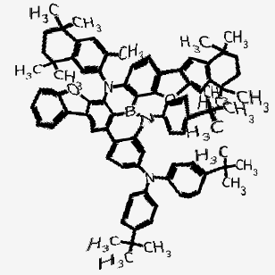 Cc1cc2c(cc1N1c3ccc4c(oc5cc6c(cc54)C(C)(C)CCC6(C)C)c3B3c4c(cc5c(oc6ccccc65)c41)-c1ccc(N(c4ccc(C(C)(C)C)cc4)c4ccc(C(C)(C)C)cc4)cc1N3c1ccc(C(C)(C)C)cc1)C(C)(C)CCC2(C)C